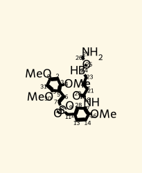 COc1cc(OC)c(/C=C/S(=O)(=O)Cc2ccc(OC)c(NC(=O)CCCBOCN)c2)c(OC)c1